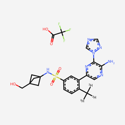 O=C(O)C(F)(F)F.[2H]C([2H])([2H])c1ccc(S(=O)(=O)NC23CC(CO)(C2)C3)cc1-c1cnc(N)c(-n2cncn2)n1